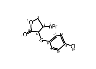 CCCC1COC(=O)C1Sc1ccc(Cl)cc1